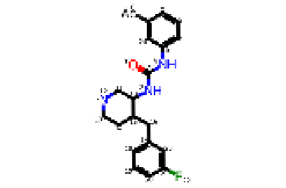 CC(=O)c1cccc(NC(=O)NC2C[N]CCC2Cc2cccc(F)c2)c1